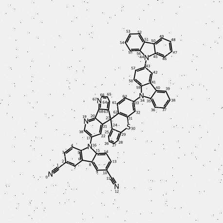 N#Cc1ccc2c(c1)c1cc(C#N)ccc1n2-c1cnc2c(c1)C1(c3ccccc3Sc3cc(-n4c5ccccc5c5cc(-n6c7ccccc7c7ccccc76)ccc54)ccc31)c1cccnc1-2